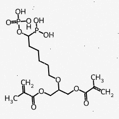 C=C(C)C(=O)OCC(COC(=O)C(=C)C)OCCCCCC(OP(=O)(O)O)P(O)O